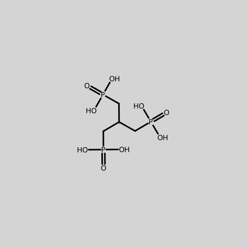 O=P(O)(O)C[C](CP(=O)(O)O)CP(=O)(O)O